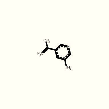 C=C(C)c1cncc(N)c1